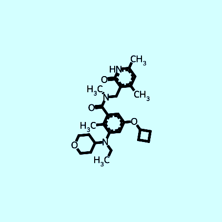 CCN(c1cc(OC2CCC2)cc(C(=O)N(C)Cc2c(C)cc(C)[nH]c2=O)c1C)C1CCOCC1